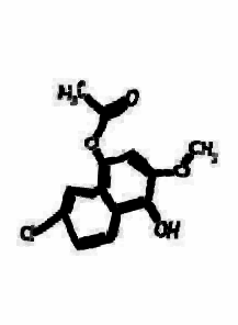 COc1cc(OC(C)=O)c2cc(Cl)ccc2c1O